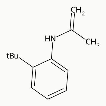 C=C(C)Nc1ccccc1C(C)(C)C